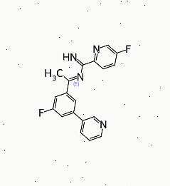 C/C(=N\C(=N)c1ccc(F)cn1)c1cc(F)cc(-c2cccnc2)c1